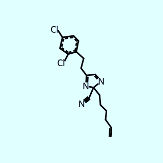 C=CCCCCC1(C#N)N=CC(CCc2ccc(Cl)cc2Cl)=N1